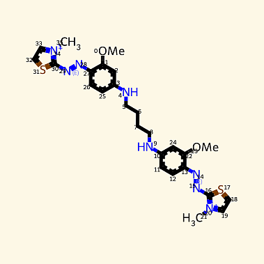 COc1cc(NCCCCNc2ccc(/N=N/c3scc[n+]3C)c(OC)c2)ccc1/N=N/c1scc[n+]1C